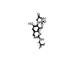 O=C1CN(c2c(O)cc3cnc(NCC(F)F)nc3c2F)S(=O)(=O)N1